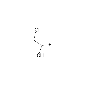 OC(F)CCl